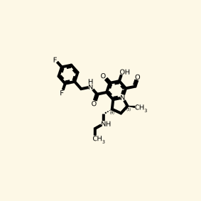 CCNC[C@H]1C[C@H](C)n2c(C=O)c(O)c(=O)c(C(=O)NCc3ccc(F)cc3F)c21